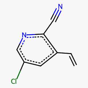 C=Cc1cc(Cl)cnc1C#N